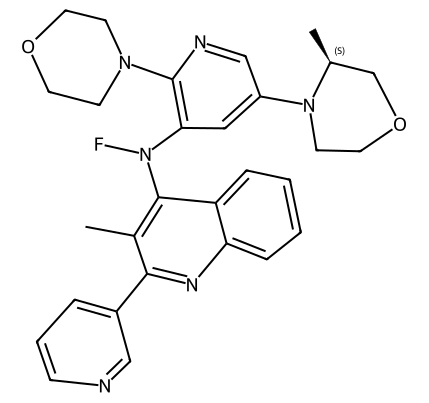 Cc1c(-c2cccnc2)nc2ccccc2c1N(F)c1cc(N2CCOC[C@@H]2C)cnc1N1CCOCC1